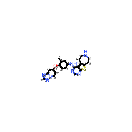 Cc1cc(Nc2ncnc3sc4c(c23)CCNCC4)ccc1Oc1ccn2ncnc2c1